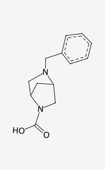 O=C(O)N1CC2CC1CN2Cc1ccccc1